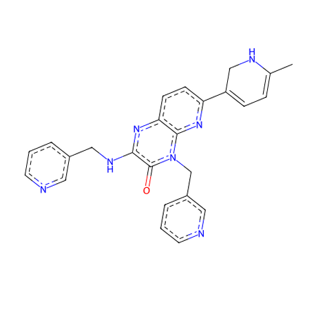 CC1=CC=C(c2ccc3nc(NCc4cccnc4)c(=O)n(Cc4cccnc4)c3n2)CN1